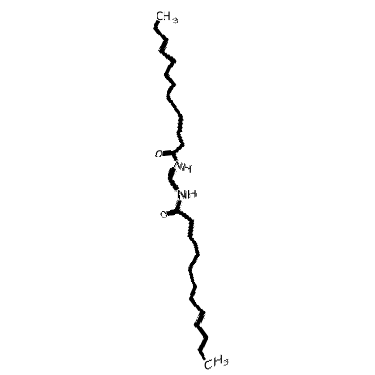 CCCCCCCCCCCC(=O)NCNC(=O)CCCCCCCCCCC